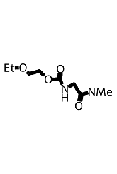 CCOCCOC(=O)NCC(=O)NC